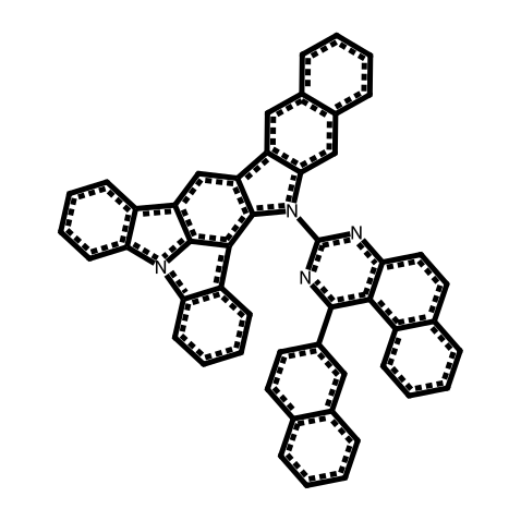 c1ccc2cc(-c3nc(-n4c5cc6ccccc6cc5c5cc6c7ccccc7n7c8ccccc8c(c54)c67)nc4ccc5ccccc5c34)ccc2c1